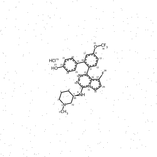 CN1CCC[C@@H](Nc2nnc(-c3ccc(OC(F)(F)F)cc3-c3ccc(O)cc3)c3c(F)ccn23)C1.Cl